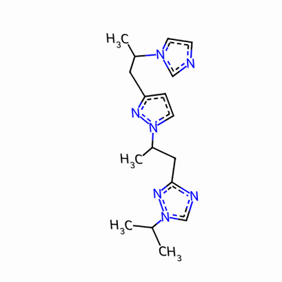 CC(Cc1ccn(C(C)Cc2ncn(C(C)C)n2)n1)n1ccnc1